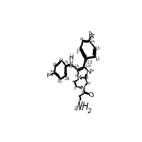 NCC(=O)N1CCn2c(nc(-c3ccc(Br)cc3)c2Nc2ccc(F)cc2)C1